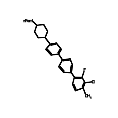 CCCCCC1CCC(c2ccc(-c3ccc(-c4ccc(C)c(Cl)c4F)cc3)cc2)CC1